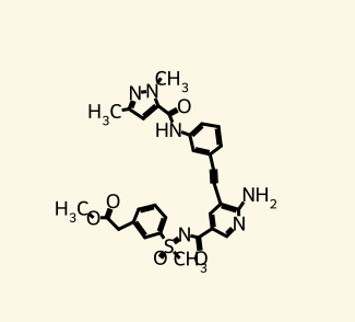 COC(=O)Cc1cccc(S(C)(=O)=NC(=O)c2cnc(N)c(C#Cc3cccc(NC(=O)c4cc(C)nn4C)c3)c2)c1